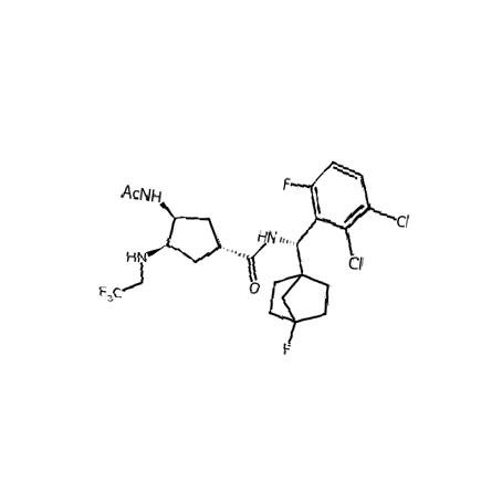 CC(=O)N[C@H]1C[C@H](C(=O)N[C@H](c2c(F)ccc(Cl)c2Cl)C23CCC(F)(CC2)C3)C[C@H]1NCC(F)(F)F